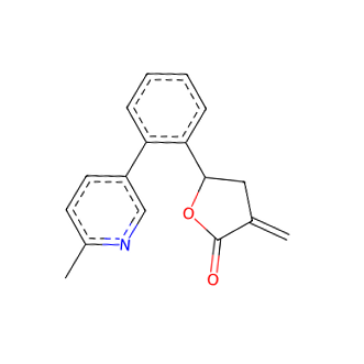 C=C1CC(c2ccccc2-c2ccc(C)nc2)OC1=O